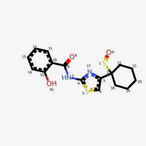 O=[S+]C1(c2csc(NC(=O)c3ccccc3O)n2)CCCCC1